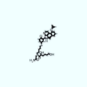 NC(=O)CN(CCCCCSc1ccc(Cl)c(CNC2(c3cnccc3-c3ccccc3OC3CC3)CC2)c1)C(=O)C(O)CCCCO